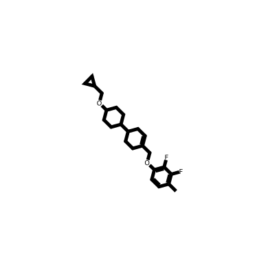 Cc1ccc(OCC2=CCC(C3CCC(OCC4CC4)CC3)CC2)c(F)c1F